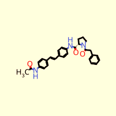 CC(=O)Nc1ccc(/C=C/c2ccc(NC(=O)[C@@H]3CCCN3C(=O)Cc3ccccc3)cc2)cc1